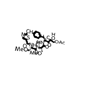 COC[C@H](NC(=O)c1cnc(C)s1)C(=O)N[C@@H](COC)C(=O)N[C@@H](Cc1ccccc1)C(=O)[C@](C)(O)COC(C)=O